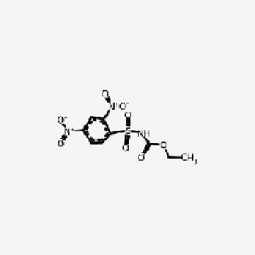 CCOC(=O)NS(=O)(=O)c1ccc([N+](=O)[O-])cc1[N+](=O)[O-]